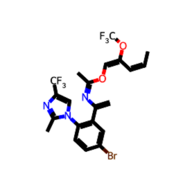 C=C(/N=C(/C)O/C=C(\C=C/C)OC(F)(F)F)c1cc(Br)ccc1-n1cc(C(F)(F)F)nc1C